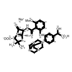 C1N2CN3CN1CN(C2)C3.COc1cccc(OC)c1C(=O)N[C@@H]1C(=O)N2[C@@H]1SC(C)(C)[C@@H]2C(=O)[O-].O=C(O)C(O)c1ccccc1.[Na+]